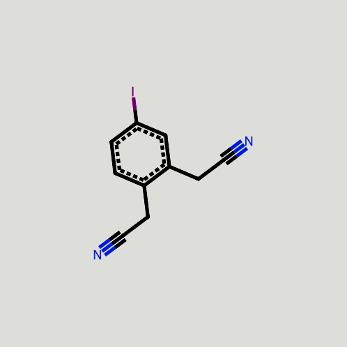 N#CCc1ccc(I)cc1CC#N